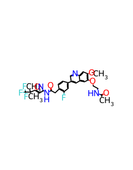 COc1cc2ncc(-c3ccc(CC(=O)Nc4cc(C(C)(C)C(F)(F)F)on4)c(F)c3)cc2cc1OCCNC(C)=O